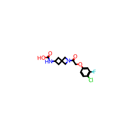 O=C(O)NC1CC2(C1)CN(C(=O)COc1ccc(Cl)c(F)c1)C2